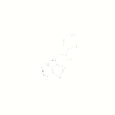 COCC1OC(n2c[n+]3c4c(ncnc42)N(C)N=C3C)C(O)C1O